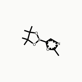 Cc1ncc(B2OC(C)(C)C(C)(C)O2)o1